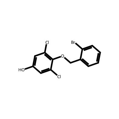 Oc1cc(Cl)c(OCc2ccccc2Br)c(Cl)c1